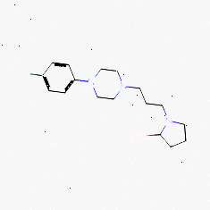 OC1CCCN1CCCN1CCN(c2ccc(F)cc2)CC1